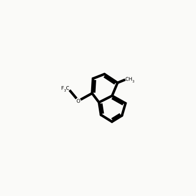 Cc1ccc(OC(F)(F)F)c2ccccc12